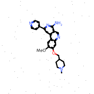 COc1cc2c(cc1OCC1CCN(C)CC1)ncc1c(N)nc(-c3ccncc3)cc12